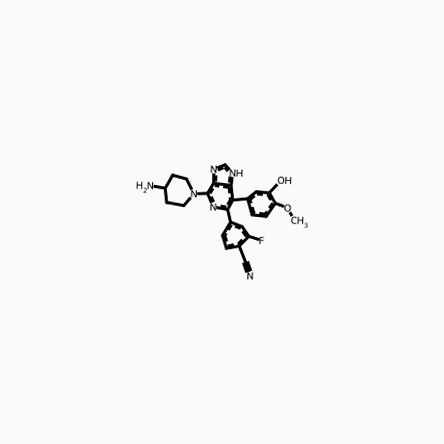 COc1ccc(-c2c(-c3ccc(C#N)c(F)c3)nc(N3CCC(N)CC3)c3nc[nH]c23)cc1O